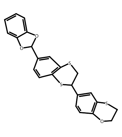 c1ccc2c(c1)OC(c1ccc3c(c1)SCC(c1ccc4c(c1)SCCO4)S3)O2